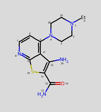 CCN1CCN(c2ccnc3sc(C(N)=O)c(N)c23)CC1